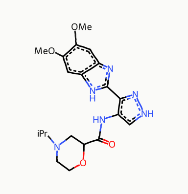 COc1cc2nc(-c3n[nH]cc3NC(=O)C3CN(C(C)C)CCO3)[nH]c2cc1OC